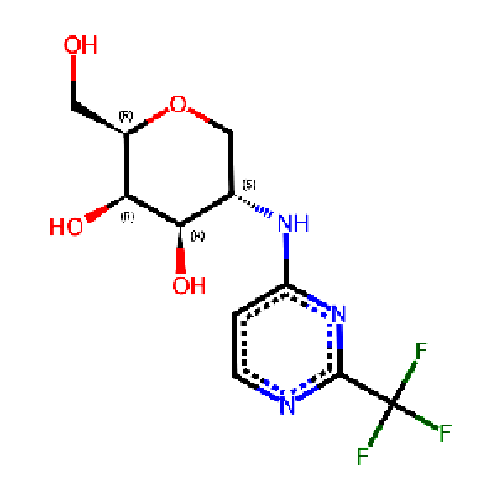 OC[C@H]1OC[C@H](Nc2ccnc(C(F)(F)F)n2)[C@@H](O)[C@H]1O